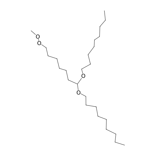 CCCCCCCCCOC(CCCCCCOOC)OCCCCCCCCC